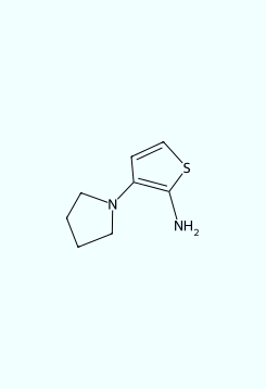 Nc1sccc1N1CCCC1